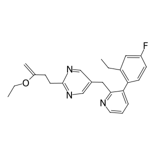 C=C(CCc1ncc(Cc2ncccc2-c2ccc(F)cc2CC)cn1)OCC